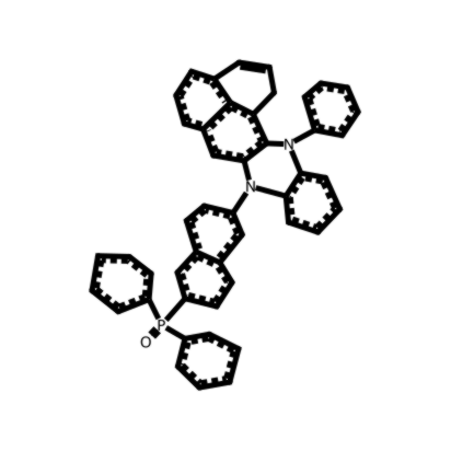 O=P(c1ccccc1)(c1ccccc1)c1ccc2cc(N3c4ccccc4N(c4ccccc4)c4c3cc3cccc5c3c4CC=C5)ccc2c1